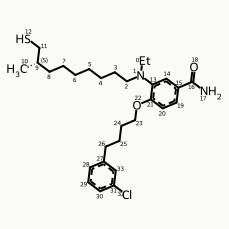 CCN(CCCCCCC[C@H](C)CS)c1cc(C(N)=O)ccc1OCCCCc1cccc(Cl)c1